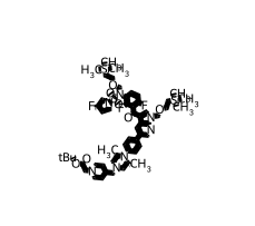 C[C@@H]1CN(CC2CCN(CC(=O)OC(C)(C)C)CC2)C[C@H](C)N1c1ccc(-c2cnc3c(c2)c(C(=O)c2c(F)ccc(N(COCC[Si](C)(C)C)S(=O)(=O)N4CC[C@@H](F)C4)c2F)cn3COCC[Si](C)(C)C)cc1